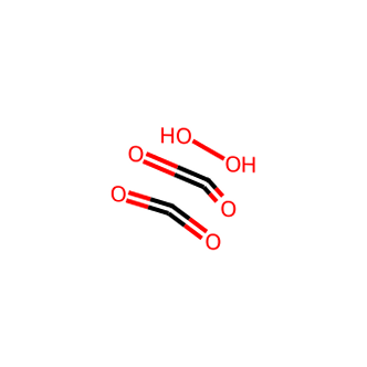 O=C=O.O=C=O.OO